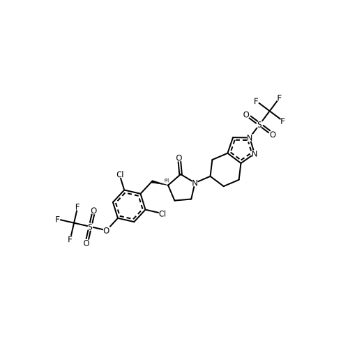 O=C1[C@H](Cc2c(Cl)cc(OS(=O)(=O)C(F)(F)F)cc2Cl)CCN1C1CCc2nn(S(=O)(=O)C(F)(F)F)cc2C1